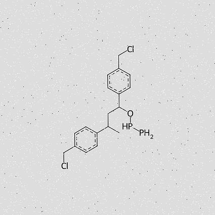 CC(CC(OPP)c1ccc(CCl)cc1)c1ccc(CCl)cc1